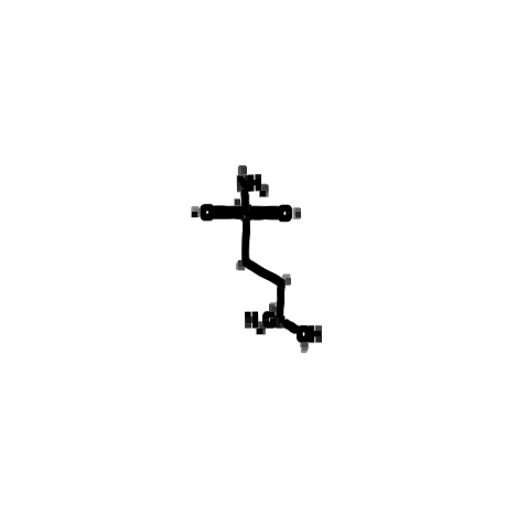 NS(=O)(=O)C[CH2][GeH2][OH]